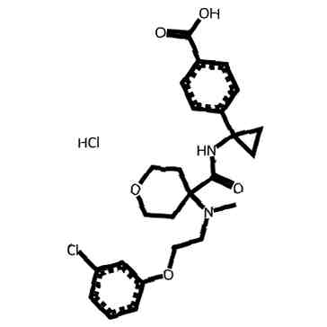 CN(CCOc1cccc(Cl)c1)C1(C(=O)NC2(c3ccc(C(=O)O)cc3)CC2)CCOCC1.Cl